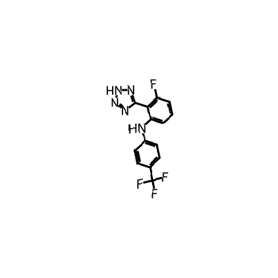 Fc1cccc(Nc2ccc(C(F)(F)F)cc2)c1-c1nn[nH]n1